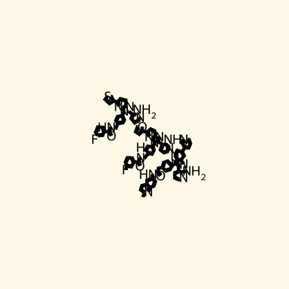 Cc1ccc2cc(NC(=O)Cc3ccc(-n4c(-c5cccnc5N)nc5cc(-c6cccnc6)cnc54)cc3)ccc2n1.Nc1ncccc1-c1nc2ccc(-c3ccco3)nc2n1-c1ccc(CNC(=O)c2cccc(F)c2)cc1.Nc1ncccc1-c1nc2ccc(-c3ccsc3)nc2n1-c1ccc(CNC(=O)c2cccc(F)c2)cc1